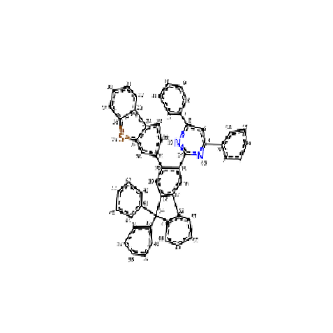 c1ccc(-c2cc(-c3ccccc3)nc(-c3cc4c(cc3-c3ccc5c(c3)sc3ccccc35)C(c3ccccc3)(c3ccccc3)c3ccccc3-4)n2)cc1